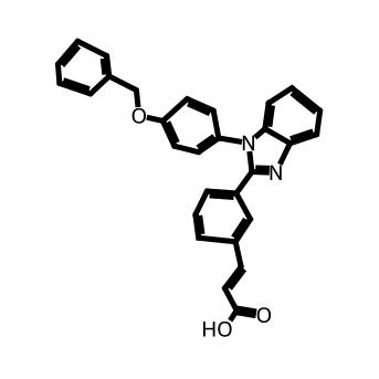 O=C(O)/C=C/c1cccc(-c2nc3ccccc3n2-c2ccc(OCc3ccccc3)cc2)c1